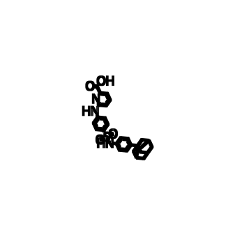 O=C(O)c1cccc(Nc2ccc(S(=O)(=O)Nc3ccc(C45CC6CC(CC(C6)C4)C5)cc3)cc2)n1